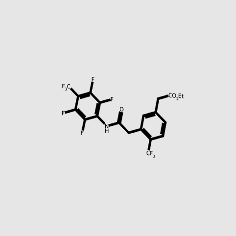 CCOC(=O)Cc1ccc(C(F)(F)F)c(CC(=O)Nc2c(F)c(F)c(C(F)(F)F)c(F)c2F)c1